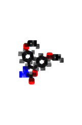 COc1ccc(C2=NNC(=O)OC2c2ccc(OC)cc2)cc1